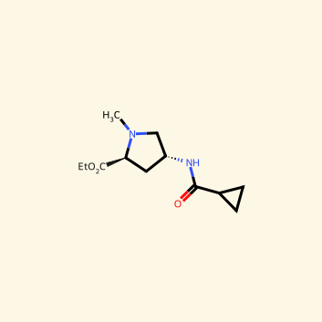 CCOC(=O)[C@@H]1C[C@@H](NC(=O)C2CC2)CN1C